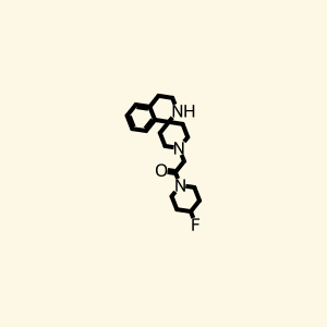 O=C(CN1CCC2(CC1)NCCc1ccccc12)N1CCC(F)CC1